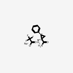 NC(=O)[C@]1(N)C[C@@H]1c1ccccc1.O=C([O-])C(F)(F)F.[Na+]